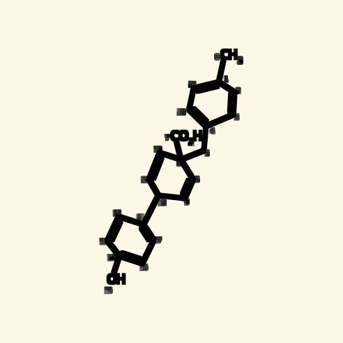 Cc1ccc(CC2(C(=O)O)C=CC(c3ccc(O)cc3)C=C2)cc1